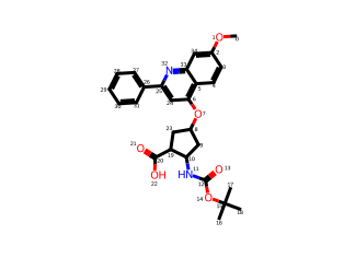 COc1ccc2c(OC3CC(NC(=O)OC(C)(C)C)C(C(=O)O)C3)cc(-c3ccccc3)nc2c1